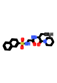 O=C(O)C[C@H](NC(=O)CNS(=O)(=O)c1ccc2ccccc2c1)C(=O)N1CCCCC1